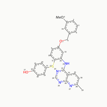 COc1cccc(COc2ccc(Sc3ccc(O)cc3)c(Nc3ncnc4nc(C)ccc34)c2)c1